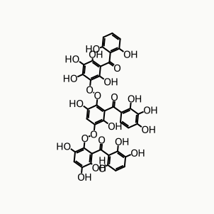 O=C(c1c(O)cccc1O)c1c(O)c(O)c(O)c(OOc2c(O)cc(OOc3c(O)cc(O)c(O)c3C(=O)c3c(O)ccc(O)c3O)c(O)c2C(=O)c2ccc(O)c(O)c2O)c1O